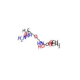 Cc1cc(CCCCOCCCCCCNC[C@H](O)c2ccc3c(c2)COC(C)(C)O3)cc(NC(N)=O)c1